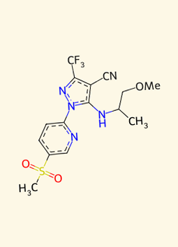 COCC(C)Nc1c(C#N)c(C(F)(F)F)nn1-c1ccc(S(C)(=O)=O)cn1